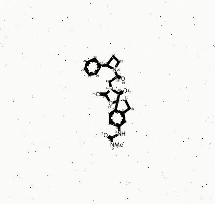 CNC(=O)Nc1ccc2c(c1)CC[C@@]21OC(=O)N(CC(=O)N2CCC2c2ccccc2)C1=O